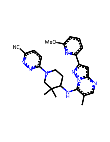 COc1cccc(-c2cc3ncc(C)c(NC4CCN(c5ccc(C#N)nn5)CC4(C)C)n3n2)n1